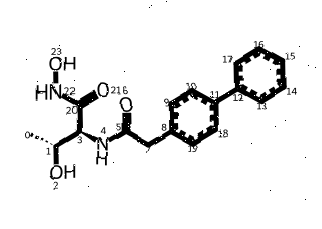 C[C@@H](O)[C@H](NC(=O)Cc1ccc(-c2ccccc2)cc1)C(=O)NO